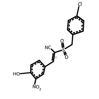 N#C/C(=C\c1ccc(O)c([N+](=O)[O-])c1)S(=O)(=O)Cc1ccc(Cl)cc1